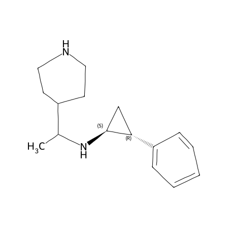 CC(N[C@H]1C[C@@H]1c1ccccc1)C1CCNCC1